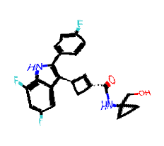 O=C(NC1(CO)CC1)[C@H]1C[C@H](c2c(-c3ccc(F)cc3)[nH]c3c(F)cc(F)cc32)C1